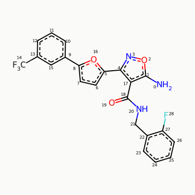 Nc1onc(-c2ccc(-c3cccc(C(F)(F)F)c3)o2)c1C(=O)NCc1ccccc1F